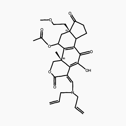 C=CCN(C=C1C(=O)OC[C@@]2(C)C1=C(O)C(=O)C1=C2C(OC(C)=O)C[C@]2(CCOC)C(=O)CCC12)CC=C